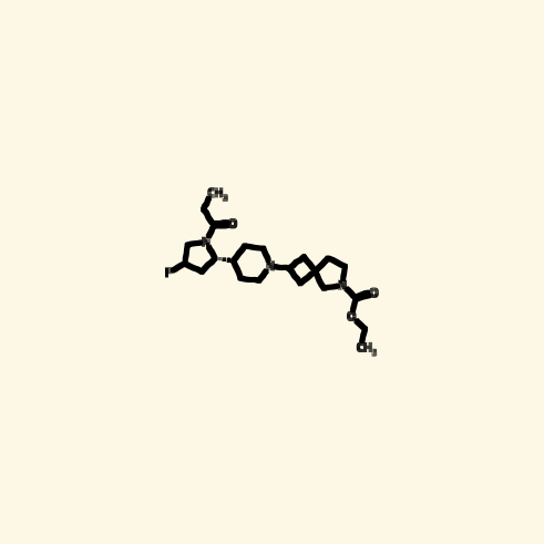 CCOC(=O)N1CCC2(CC(N3CCC([C@@H]4CC(F)CN4C(=O)CC)CC3)C2)C1